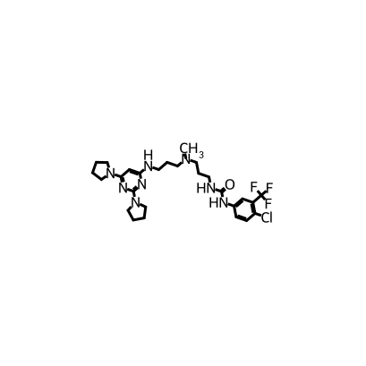 CN(CCCNC(=O)Nc1ccc(Cl)c(C(F)(F)F)c1)CCCNc1cc(N2CCCC2)nc(N2CCCC2)n1